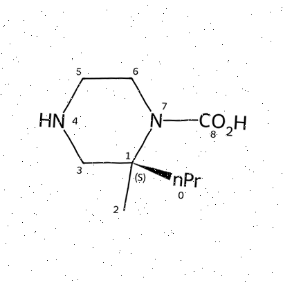 CCC[C@@]1(C)CNCCN1C(=O)O